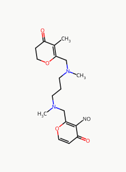 CC1=C(CN(C)CCCN(C)Cc2occc(=O)c2N=O)OCCC1=O